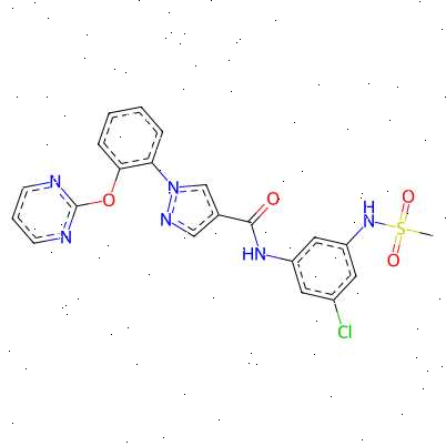 CS(=O)(=O)Nc1cc(Cl)cc(NC(=O)c2cnn(-c3ccccc3Oc3ncccn3)c2)c1